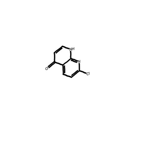 O=c1cc[nH]c2nc(Cl)ccc12